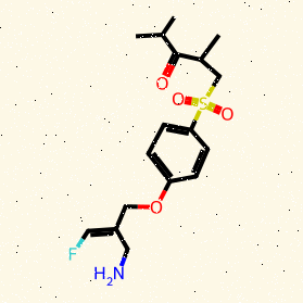 CC(C)C(=O)C(C)CS(=O)(=O)c1ccc(OC/C(=C/F)CN)cc1